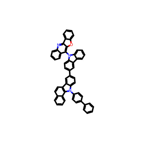 c1ccc(-c2ccc(-n3c4ccc(-c5ccc6c(c5)c5ccccc5n6-c5c6ccccc6nc6c5oc5ccccc56)cc4c4ccc5ccccc5c43)cc2)cc1